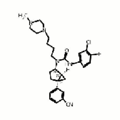 CN1CCN(CCCCN(C(=O)Nc2ccc(F)c(Cl)c2)[C@@H]2CC[C@]3(c4cccc(C#N)c4)C[C@H]23)CC1